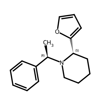 C[C@H](c1ccccc1)N1CCCC[C@H]1c1ccco1